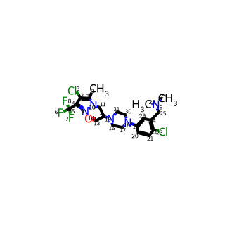 Cc1c(Cl)c(C(F)(F)F)nn1CC(C=O)N1CCN(c2ccc(Cl)c(CN(C)C)c2)CC1